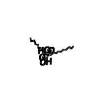 CCCCCCCCCCC(CCCCCCCCCC)(CC(=O)O)C(=O)O